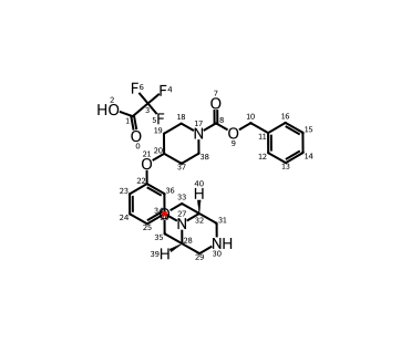 O=C(O)C(F)(F)F.O=C(OCc1ccccc1)N1CCC(Oc2cccc(N3[C@@H]4CNC[C@H]3COC4)c2)CC1